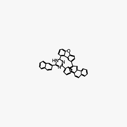 c1ccc(C2=NC(c3cccc4oc5ccc(-c6ccc7ccc8ccccc8c7c6)cc5c34)NC(c3ccc4ccccc4c3)=N2)cc1